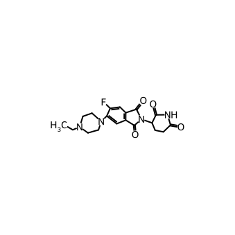 CCN1CCN(c2cc3c(cc2F)C(=O)N(C2CCC(=O)NC2=O)C3=O)CC1